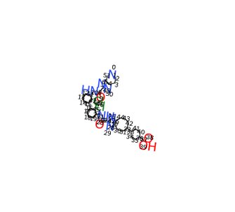 CN1CCc2c(nc(C(=O)Nc3cccc(-c4cccc(NC(=O)c5nc6c(n5C)CCC(C5CCC(C(=O)O)CC5)CCC6)c4Cl)c3Cl)n2C)C1